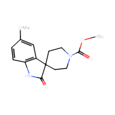 COc1ccc2c(c1)C1(CCN(C(=O)OC(C)(C)C)CC1)C(=O)N2